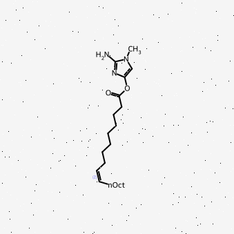 CCCCCCCC/C=C\CCCCCCCC(=O)Oc1cn(C)c(N)n1